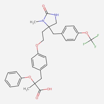 CN1C(=O)NCC1(CCOc1ccc(CC(C)(Oc2ccccc2)C(=O)O)cc1)Cc1ccc(OC(F)(F)F)cc1